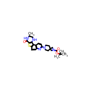 C[C@@H]1CNc2c(sc3ccc4nc(N5CCC6(CC5)CN(C(=O)OC(C)(C)C)C6)ccc4c23)C(=O)N1